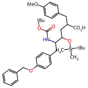 COc1ccc(CC(CC(O[Si](C)(C)C(C)(C)C)C(Cc2ccc(OCc3ccccc3)cc2)NC(=O)OC(C)(C)C)C(=O)O)cc1